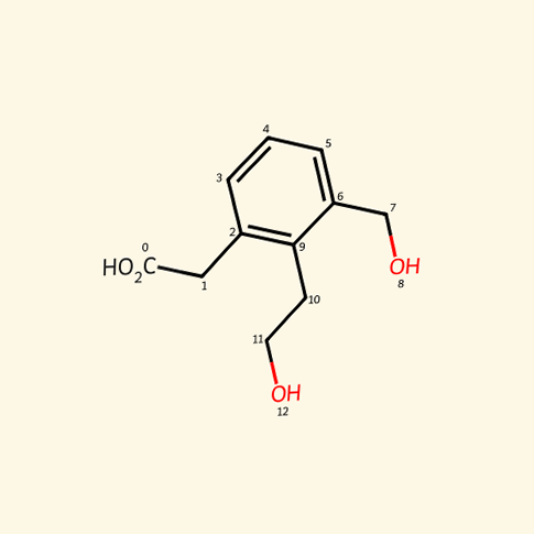 O=C(O)Cc1cccc(CO)c1CCO